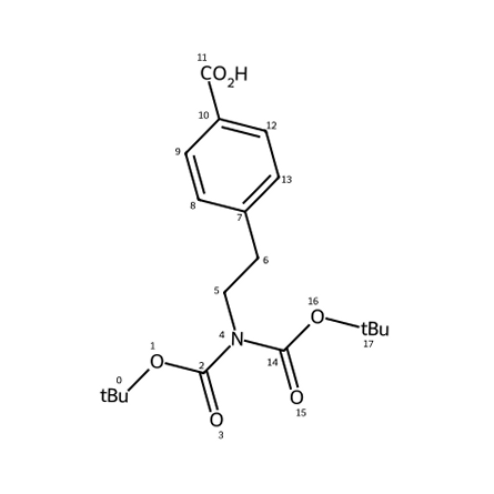 CC(C)(C)OC(=O)N(CCc1ccc(C(=O)O)cc1)C(=O)OC(C)(C)C